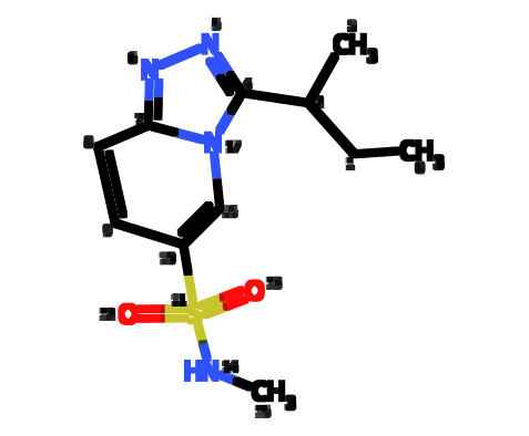 CCC(C)c1nnc2ccc(S(=O)(=O)NC)cn12